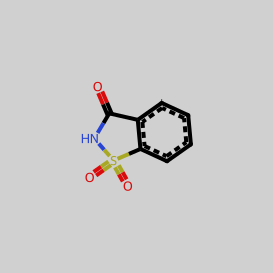 O=C1NS(=O)(=O)c2ccc[c]c21